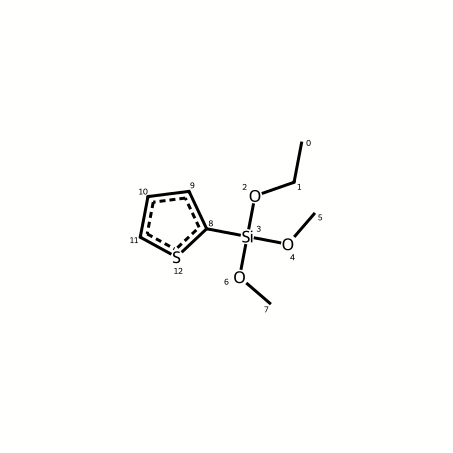 CCO[Si](OC)(OC)c1cccs1